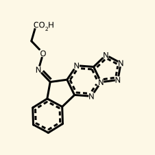 O=C(O)CON=C1c2ccccc2-c2nn3nnnc3nc21